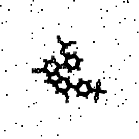 CS(=O)(=O)c1ccc(-c2cn3c4c(nc3cc2F)C(O)CO[C@@H]4c2ccccc2OC(F)F)cc1